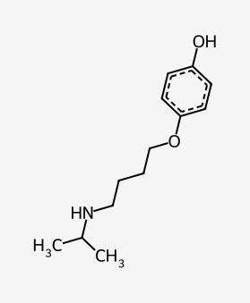 CC(C)NCCCCOc1ccc(O)cc1